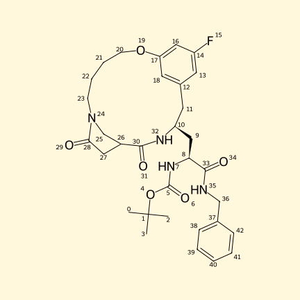 CC(C)(C)OC(=O)N[C@@H](C[C@@H]1Cc2cc(F)cc(c2)OCCCCN2CC(CC2=O)C(=O)N1)C(=O)NCc1ccccc1